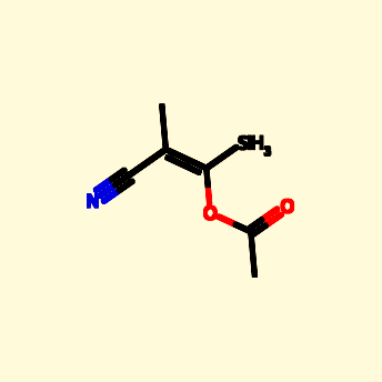 CC(=O)OC([SiH3])=C(C)C#N